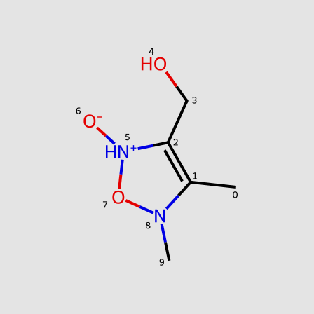 CC1=C(CO)[NH+]([O-])ON1C